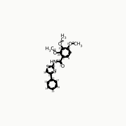 COc1ccc(C(=O)Nc2nc(-c3ccccc3)cs2)c(OC)c1OC